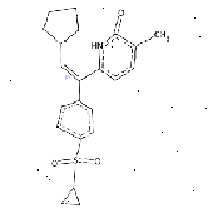 Cc1ccc(/C(=C\C2CCCC2)c2ccc(S(=O)(=O)C3CC3)cc2)[nH]c1=O